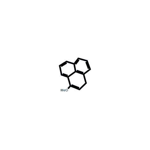 COC1=CCc2cccc3cccc1c23